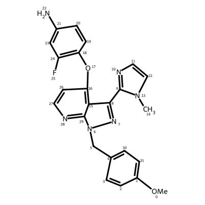 COc1ccc(Cn2nc(-c3nccn3C)c3c(Oc4ccc(N)cc4F)ccnc32)cc1